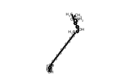 CCCN(OCC)C(=O)C1=Cc2ccc(-c3ccc(C(O)N4CCC(N(C)CCOCCOCCOCCOCCOCCOCCOCCOCCOCCOCCC(=O)Oc5c(F)c(F)c(S(=O)(=O)O)c(F)c5F)C4)cc3)cc2N=C(N)C1